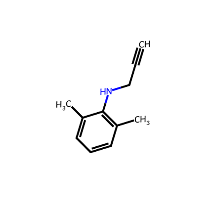 C#CCNc1c(C)cccc1C